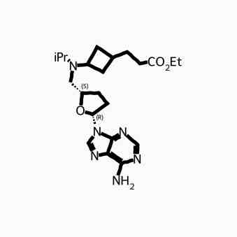 CCOC(=O)CCC1CC(N(C[C@@H]2CC[C@H](n3cnc4c(N)ncnc43)O2)C(C)C)C1